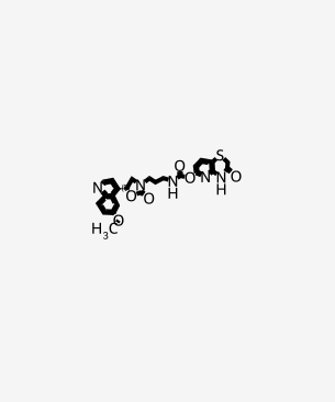 COc1ccc2nccc([C@@H]3CN(CCCNC(=O)Oc4ccc5c(n4)NC(=O)CS5)C(=O)O3)c2c1